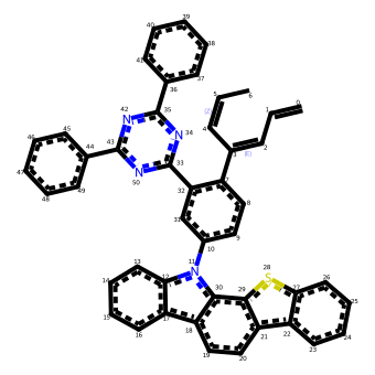 C=C/C=C(\C=C/C)c1ccc(-n2c3ccccc3c3ccc4c5ccccc5sc4c32)cc1-c1nc(-c2ccccc2)nc(-c2ccccc2)n1